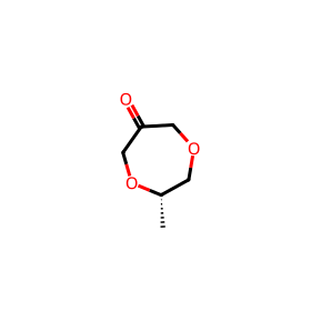 C[C@H]1COCC(=O)CO1